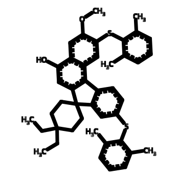 CCC1(CC)CCC2(CC1)c1cc(Sc3c(C)cccc3C)ccc1-c1c2cc(O)c2cc(OC)c(Sc3c(C)cccc3C)cc12